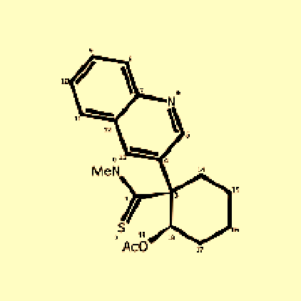 CNC(=S)[C@@]1(c2cnc3ccccc3c2)CCCC[C@H]1OC(C)=O